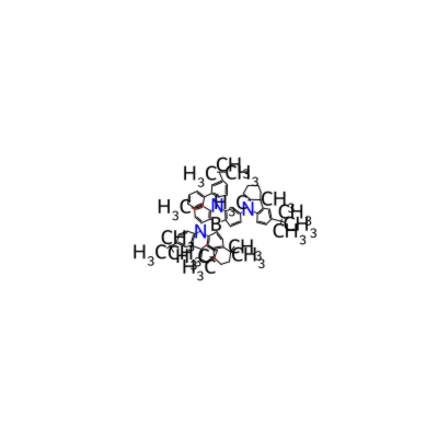 Cc1cc2c3c(c1)N(c1ccc(C(C)(C)C)cc1-c1ccccc1)c1cc4c(cc1B3c1ccc(N3c5ccc(C(C)(C)C)cc5C5(C)CCCCC35C)cc1N2c1ccc(C(C)(C)C)cc1-c1ccccc1)C(C)(C)CCC4(C)C